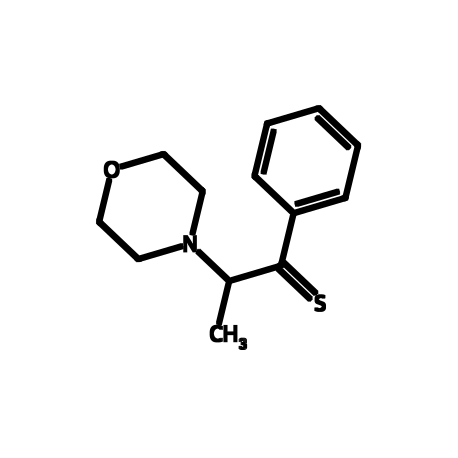 CC(C(=S)c1ccccc1)N1CCOCC1